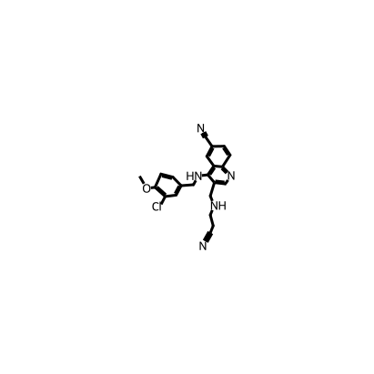 COc1ccc(CNc2c(CNCCC#N)cnc3ccc(C#N)cc23)cc1Cl